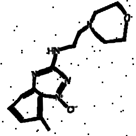 Cc1cccc2nc(NCCN3CCOCC3)n[n+]([O-])c12